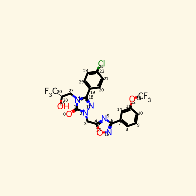 O=c1n(Cc2nc(-c3cccc(OC(F)(F)F)c3)no2)nc(-c2ccc(Cl)cc2)n1C[C@H](O)C(F)(F)F